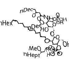 CCCCCC/C=C\CCCCCCCCCCO[C@H]1[C@H](OC[C@H]2O[C@H](OP(=O)(O)O)[C@H](NC(=O)CC(=O)CCCCCCCCCCC)[C@@H](OCCCCCCCCCC)[C@@H]2O)O[C@H](CO)[C@@H](OP(=O)(O)O)[C@@H]1OCC[C@@H](CCCCCCC)OC